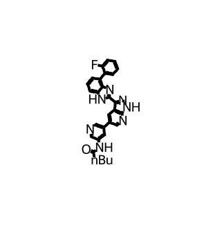 CCCCC(=O)Nc1cncc(-c2cnc3[nH]nc(-c4nc5c(-c6ccccc6F)cccc5[nH]4)c3c2)c1